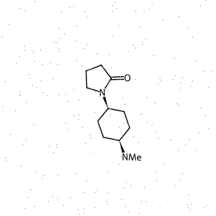 CN[C@H]1CC[C@@H](N2CCCC2=O)CC1